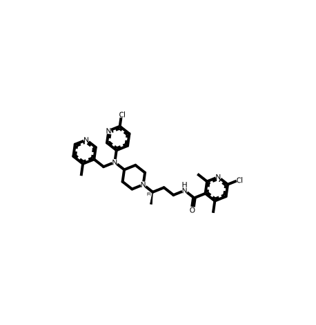 Cc1ccncc1CN(c1ccc(Cl)nc1)C1CCN([C@H](C)CCNC(=O)c2c(C)cc(Cl)nc2C)CC1